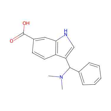 CN(C)C(c1ccccc1)c1c[nH]c2cc(C(=O)O)ccc12